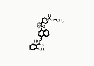 CCOC(=O)N1CCC(NS(=O)(=O)c2ccc(CNC(=O)c3ccccc3C)c3ccccc23)CC1